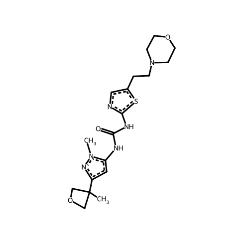 Cn1nc(C2(C)COC2)cc1NC(=O)Nc1ncc(CCN2CCOCC2)s1